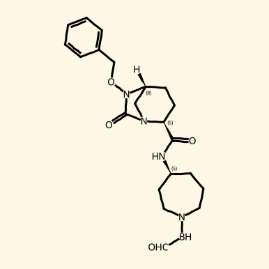 O=CBN1CCC[C@H](NC(=O)[C@@H]2CC[C@@H]3CN2C(=O)N3OCc2ccccc2)CC1